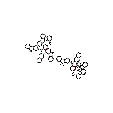 CC1(C)c2cc(-c3cccc4c3sc3cccc(-c5cc6ccccc6cc5N(c5ccc6c(c5)C(C)(C)c5ccccc5-6)c5ccc6c(c5)C5(c7ccccc7S6)c6ccccc6-c6ccccc65)c34)ccc2-c2ccc(N(c3ccc4c(c3)C3(c5ccccc5S4)c4ccccc4-c4ccccc43)c3cc4ccccc4cc3-c3cccc4oc5ccccc5c34)cc21